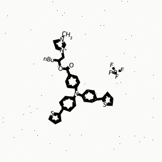 CCCCC(C[n+]1ccn(C)c1)OC(=O)c1ccc(N(c2ccc(-c3cccs3)cc2)c2ccc(-c3cccs3)cc2)cc1.F[B-](F)(F)F